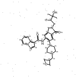 CC(C)(O)C(F)CN1Cc2cc(NC(=O)c3cnn4cccnc34)c(N3CCN(CC4COC4)CC3)cc2C1=O